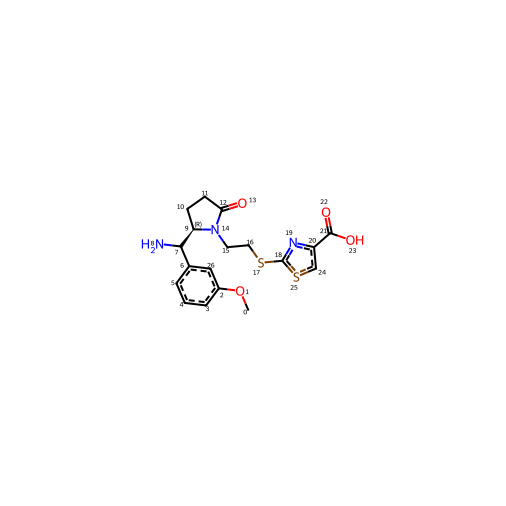 COc1cccc(C(N)[C@H]2CCC(=O)N2CCSc2nc(C(=O)O)cs2)c1